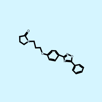 O=C1CCCN1CCCOc1ccc(-c2noc(-c3ccccc3)n2)cc1